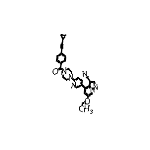 CCOc1cc(-c2ccc(N3CCN(C(=O)c4ccc(C#CC5CC5)cc4)CC3)nc2)c2c(C#N)cnn2c1